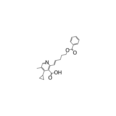 Cc1cnc(C=CCCCOC(=O)c2ccccc2)c(C(=O)O)c1C1CC1